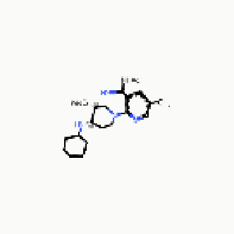 CO[C@@H]1CN(c2ncc(C)cc2C(=N)NC(C)=O)CC[C@@H]1NC1CCCCC1